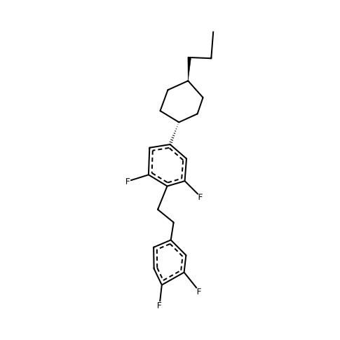 CCC[C@H]1CC[C@H](c2cc(F)c(CCc3ccc(F)c(F)c3)c(F)c2)CC1